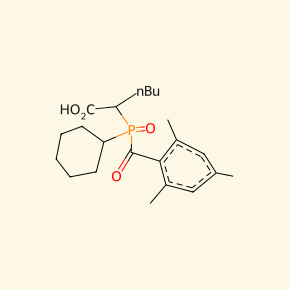 CCCCC(C(=O)O)P(=O)(C(=O)c1c(C)cc(C)cc1C)C1CCCCC1